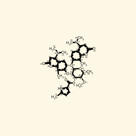 CO[C@H]1[C@H](OC(=O)c2ccc(C)[nH]2)[C@H](Oc2ccc3c(N(C)C)cc(=O)oc3c2C)[C@@H](Oc2ccc3c(N(C)C)cc(=O)oc3c2C)O[C@@H]1C